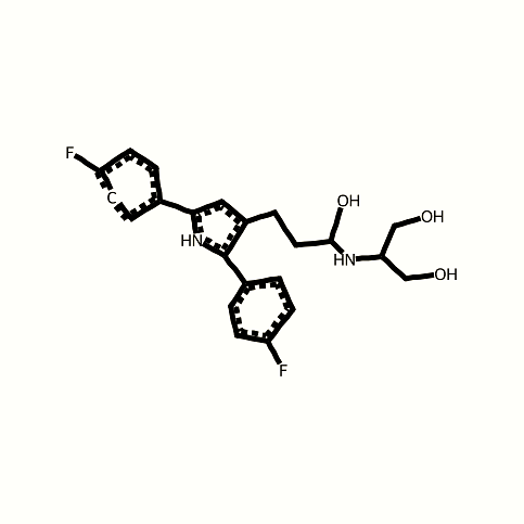 OCC(CO)NC(O)CCc1cc(-c2ccc(F)cc2)[nH]c1-c1ccc(F)cc1